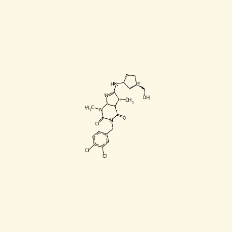 CN1C(=O)N(Cc2ccc(Cl)c(Cl)c2)C(=O)C2C1N=C(NC1CC[C@@H](CO)C1)N2C